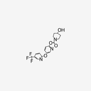 O=C(Oc1ccc(Oc2ccc(C(F)(F)F)cn2)cn1)N1CCC(O)CC1